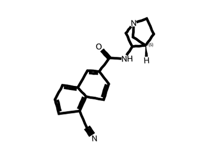 N#Cc1cccc2cc(C(=O)NC3CN4CC[C@H]3C4)ccc12